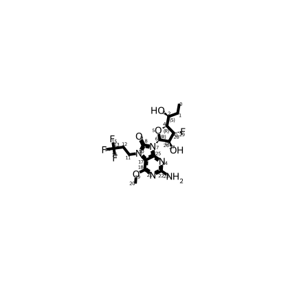 CC[C@H](O)[C@H]1O[C@@H](n2c(=O)n(CCC(F)(F)F)c3c(OC)nc(N)nc32)[C@H](O)[C@H]1F